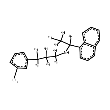 [2H]C([2H])([2H])C([2H])(NC([2H])([2H])C([2H])([2H])C([2H])([2H])c1cccc(C(F)(F)F)c1)c1cccc2ccccc12